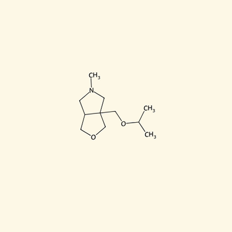 CC(C)OCC12COCC1CN(C)C2